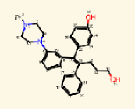 CC(C)N1CCN(c2cccc(/C(=C(/CCCO)c3ccccc3)c3ccc(O)cc3)c2)CC1